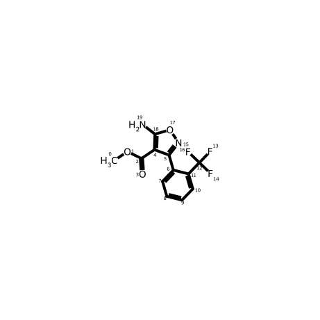 COC(=O)c1c(-c2ccccc2C(F)(F)F)noc1N